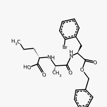 CCC[C@H](N[C@@H](C)C(=O)N[C@@H](Cc1ccccc1Br)C(=O)OCc1ccccc1)C(=O)O